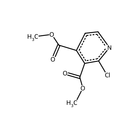 COC(=O)c1ccnc(Cl)c1C(=O)OC